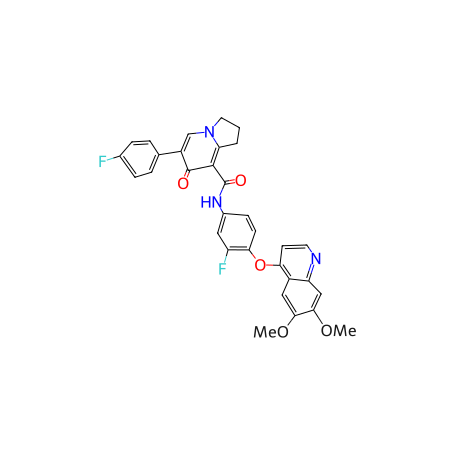 COc1cc2nccc(Oc3ccc(NC(=O)c4c5n(cc(-c6ccc(F)cc6)c4=O)CCC5)cc3F)c2cc1OC